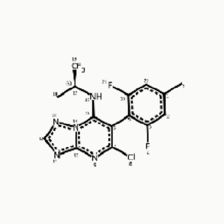 Cc1cc(F)c(-c2c(Cl)nc3ncnn3c2N[C@@H](C)C(F)(F)F)c(F)c1